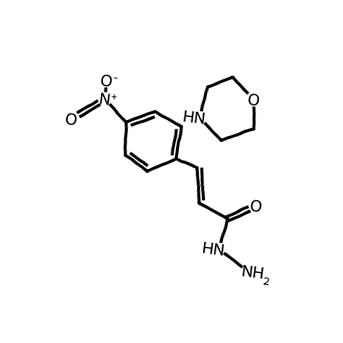 C1COCCN1.NNC(=O)C=Cc1ccc([N+](=O)[O-])cc1